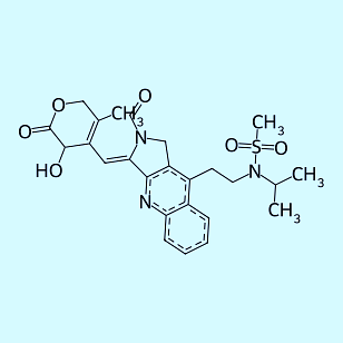 CC1=C(/C=C2/c3nc4ccccc4c(CCN(C(C)C)S(C)(=O)=O)c3CN2C=O)C(O)C(=O)OC1